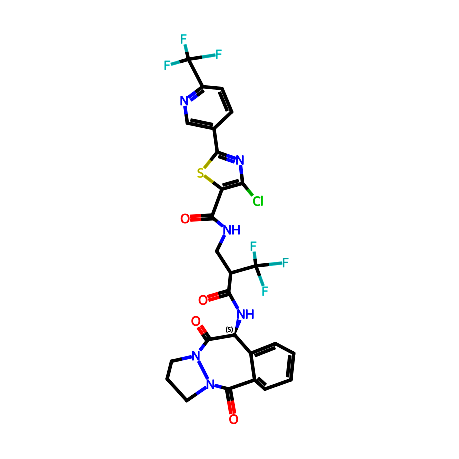 O=C(NCC(C(=O)N[C@@H]1C(=O)N2CCCN2C(=O)c2ccccc21)C(F)(F)F)c1sc(-c2ccc(C(F)(F)F)nc2)nc1Cl